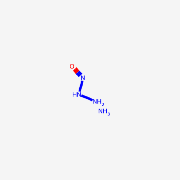 N.NNN=O